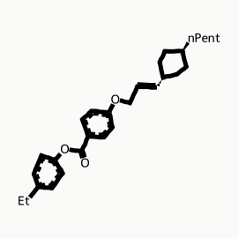 CCCCC[C@H]1CC[C@H](/C=C/COc2ccc(C(=O)Oc3ccc(CC)cc3)cc2)CC1